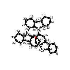 c1ccc2c(c1)sc1ccc(-n3c4ccccc4c4cccc(-n5c6ccccc6c6ccccc65)c43)cc12